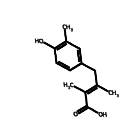 CC(Cc1ccc(O)c(C)c1)=C(C)C(=O)O